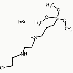 Br.CO[Si](CCCNCCNCCCl)(OC)OC